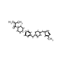 Cc1cnn(CC2CCN(Cc3ccc([C@H]4CC[C@H](C(=O)C(C)C)CC4)cc3)CC2)c1